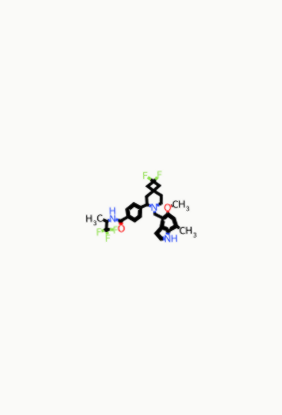 COc1cc(C)c2[nH]ccc2c1CN1CCC2(CC1c1ccc(C(=O)NC(C)C(F)(F)F)cc1)CC(F)(F)C2